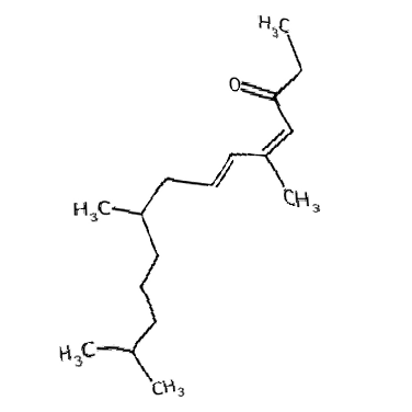 CCC(=O)C=C(C)C=CCC(C)CCCC(C)C